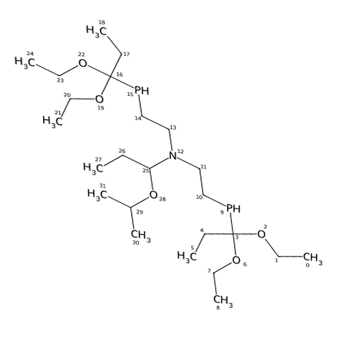 CCOC(CC)(OCC)PCCN(CCPC(CC)(OCC)OCC)C(CC)OC(C)C